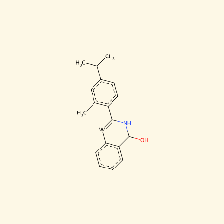 Cc1cc(C(C)C)ccc1[C]1=[W][c]2ccccc2C(O)N1